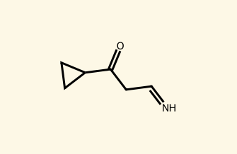 N=CCC(=O)C1CC1